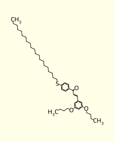 CCCCCCCCCCCCCCCCCCCCCSc1ccc(C(=O)/C=C/c2cc(OCCCC)cc(OCCCC)c2)cc1